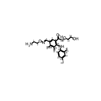 NCCO/N=C/c1cc(C(=O)NOCCO)c(Nc2ccc(I)cc2F)c(F)c1F